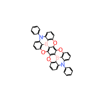 c1ccc(N2c3cccc4c3B3c5c(cccc52)Oc2c5c6c(c(c23)O4)Oc2cccc3c2B6c2c(cccc2N3c2ccccc2)O5)cc1